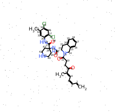 C=C/C=C\C=C(/C)C(=O)CCC(=O)N1Cc2ccccc2C[C@H]1C(=O)NC1(C(=O)Nc2cc(C)c(Cl)cc2Cl)CCNCC1